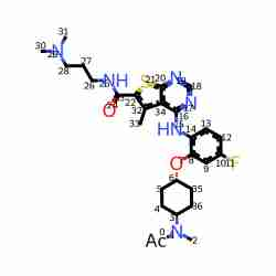 CC(=O)N(C)[C@H]1CC[C@H](Oc2cc(F)ccc2Nc2ncnc3sc(C(=O)NCCCN(C)C)c(C)c23)CC1